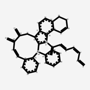 C=C/C=C\C=CC(=C)n1c2c(c3ccc4c(c31)C=CCC4)CC(=C)C(=C)/C=C\c1ccccc1N2c1ccccc1